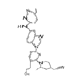 Cc1ccc(Nc2ccc3c(c2)ncn3-c2ccc(CCO)c(N3CC(C#N)CC3C)n2)nn1